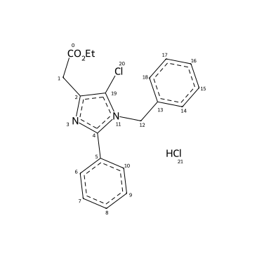 CCOC(=O)Cc1nc(-c2ccccc2)n(Cc2ccccc2)c1Cl.Cl